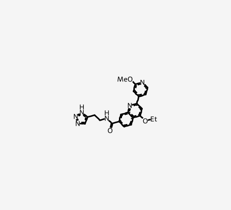 CCOc1cc(-c2ccnc(OC)c2)nc2cc(C(=O)NCCc3cnn[nH]3)ccc12